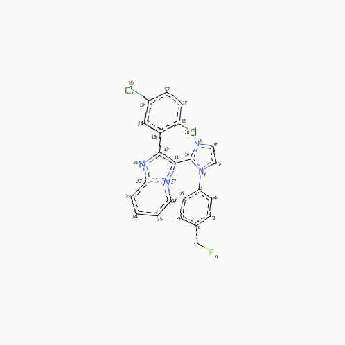 FCc1ccc(-n2ccnc2-c2c(-c3cc(Cl)ccc3Cl)nc3ccccn23)cc1